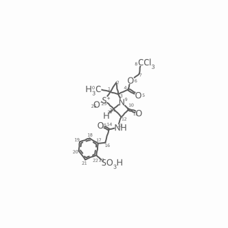 CC12CC1(C(=O)OCC(Cl)(Cl)Cl)N1C(=O)C(NC(=O)Cc3ccccc3S(=O)(=O)O)[C@@H]1[S+]2[O-]